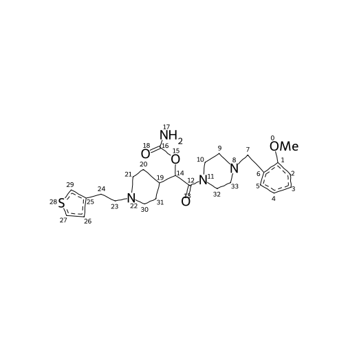 COc1ccccc1CN1CCN(C(=O)C(OC(N)=O)C2CCN(CCc3ccsc3)CC2)CC1